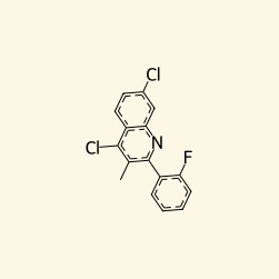 Cc1c(-c2ccccc2F)nc2cc(Cl)ccc2c1Cl